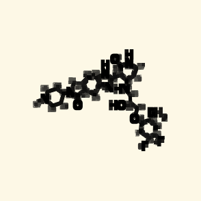 Bc1cc(F)c(F)cc1OC[C@H](O)CNc1cc[nH]c(=O)c1-c1nc2cc3c(cc2[nH]1)CN(C1CCN(C)CC1)C3=O